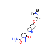 CCN(CC)CC(C)(C)COc1ccc2[nH]c(-c3c[c]c(C(N)=O)[nH]c3=O)cc2c1